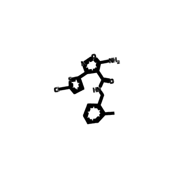 Cc1ccccc1CNC(=O)c1c(-c2ccc(Cl)s2)noc1N